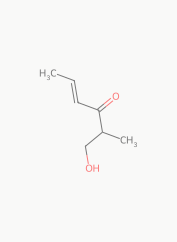 C/C=C/C(=O)C(C)CO